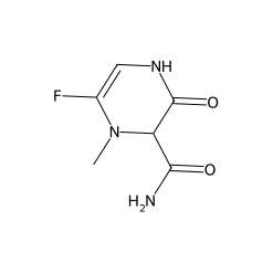 CN1C(F)=CNC(=O)C1C(N)=O